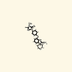 CCCn1c(C)nn(-c2ccc(Sc3cccc(C4(C(N)=O)CCOCC4)c3)cc2)c1=O